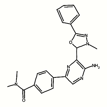 CN(C)C(=O)c1ccc(-c2cnc(N)c(C3OC(c4ccccc4)=NN3C)n2)cc1